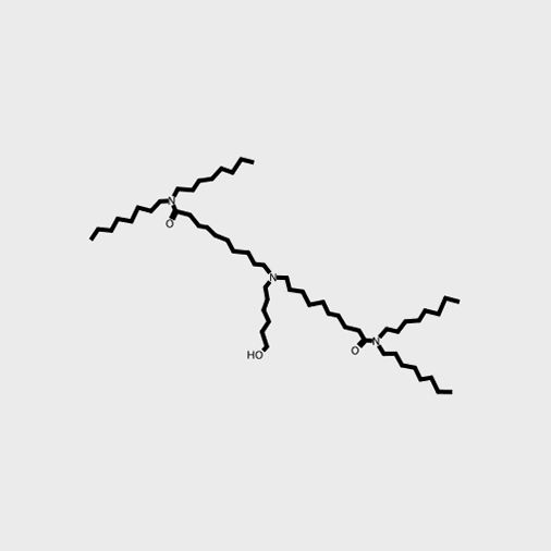 CCCCCCCCN(CCCCCCCC)C(=O)CCCCCCCCCN(CCCCCCO)CCCCCCCCCC(=O)N(CCCCCCCC)CCCCCCCC